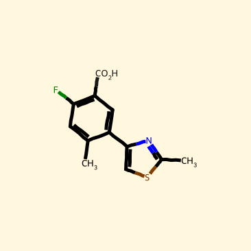 Cc1nc(-c2cc(C(=O)O)c(F)cc2C)cs1